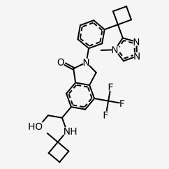 Cn1cnnc1C1(c2cccc(N3Cc4c(cc(C(CO)NC5(C)CCC5)cc4C(F)(F)F)C3=O)c2)CCC1